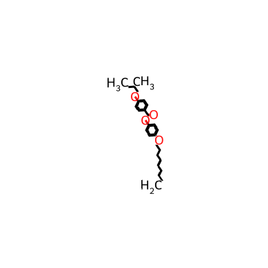 C=CCCCCCCCOc1ccc(OC(=O)c2ccc(OCC(C)CC)cc2)cc1